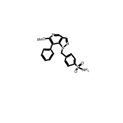 COc1ncc2cnn(Cc3ccc(S(N)(=O)=O)cc3)c2c1-c1ccccc1